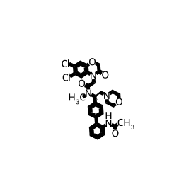 CC(=O)Nc1ccccc1-c1ccc([C@H](CN2CCOCC2)N(C)C(=O)CN2C(=O)COc3cc(Cl)c(Cl)cc32)cc1